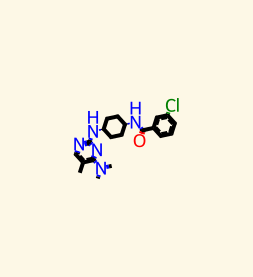 Cc1cnc(N[C@H]2CC[C@@H](NC(=O)c3cccc(Cl)c3)CC2)nc1N(C)C